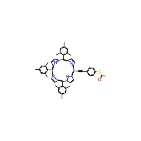 CC(=O)Sc1ccc(C#CC2=C3C=CC(=N3)C(c3c(C)cc(C)cc3C)=C3C=CC(=N3)C(c3c(C)cc(C)cc3C)=C3C=CC(=N3)C(c3c(C)cc(C)cc3C)=C3C=CC2=N3)cc1